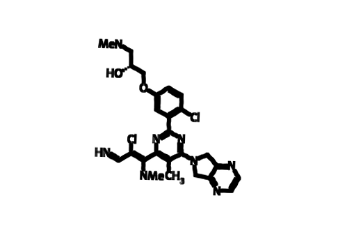 CNC[C@@H](O)COc1ccc(Cl)c(-c2nc(/C(NC)=C(\Cl)C=N)c(C)c(N3Cc4nccnc4C3)n2)c1